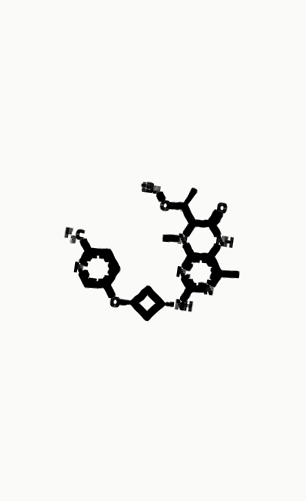 Cc1nc(N[C@H]2C[C@H](Oc3ccc(C(F)(F)F)nc3)C2)nc2c1NC(=O)C([C@H](C)OC(C)(C)C)N2C